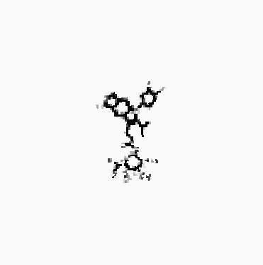 CC(C)c1c(CCC(=O)O[C@@H]2O[C@H](C(=O)O)[C@@H](O)[C@H](O)[C@H]2O)c2cc3[nH]ncc3cc2n1-c1ccc(F)c(F)c1